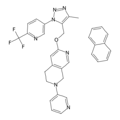 Cc1nnn(-c2ccc(C(F)(F)F)nc2)c1COc1cc2c(cn1)CN(c1cccnc1)CC2.c1ccc2ccccc2c1